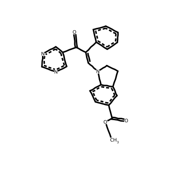 COC(=O)c1ccc2c(c1)CCN2/C=C(/C(=O)c1cncnc1)c1ccccc1